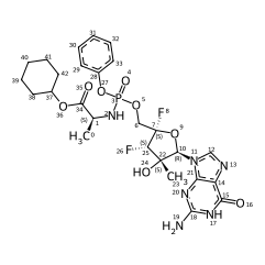 C[C@H](NP(=O)(OC[C@@]1(F)O[C@@H](n2cnc3c(=O)[nH]c(N)nc32)[C@](C)(O)[C@@H]1F)Oc1ccccc1)C(=O)OC1CCCCC1